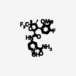 COc1c([C@H]2[C@@H](C(=O)Nc3cc[n+](O)c(C(N)=O)c3)O[C@](C)(C(F)(F)F)[C@@H]2C)ccc(F)c1F